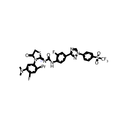 CC(C)c1cc(F)c(N(C)C)cc1N1C(=O)CS/C1=N\C(=O)Nc1ccc(-c2ncn(-c3ccc(S(=O)(=O)C(F)(F)F)cc3)n2)cc1F